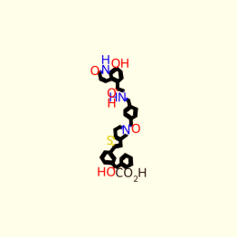 O=C(c1ccc(CNCC(O)c2ccc(O)c3[nH]c(=O)ccc23)cc1)N1CCc2sc(-c3cccc(C(O)(C(=O)O)c4ccccc4)c3)cc2C1